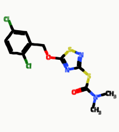 CN(C)C(=O)Sc1nsc(OCc2cc(Cl)ccc2Cl)n1